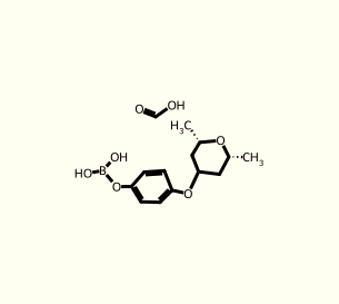 C[C@@H]1CC(Oc2ccc(OB(O)O)cc2)C[C@H](C)O1.O=CO